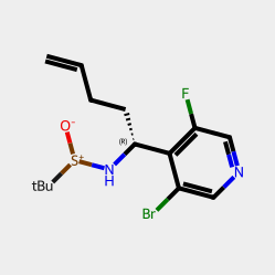 C=CCC[C@@H](N[S+]([O-])C(C)(C)C)c1c(F)cncc1Br